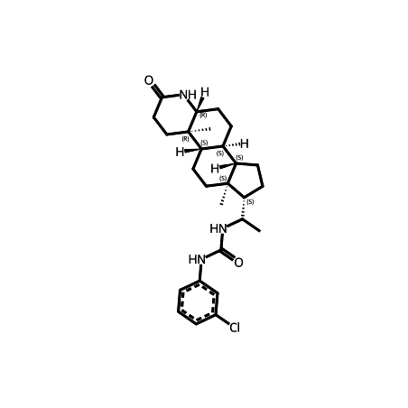 CC(NC(=O)Nc1cccc(Cl)c1)[C@H]1CC[C@H]2[C@@H]3CC[C@H]4NC(=O)CC[C@]4(C)[C@H]3CC[C@]12C